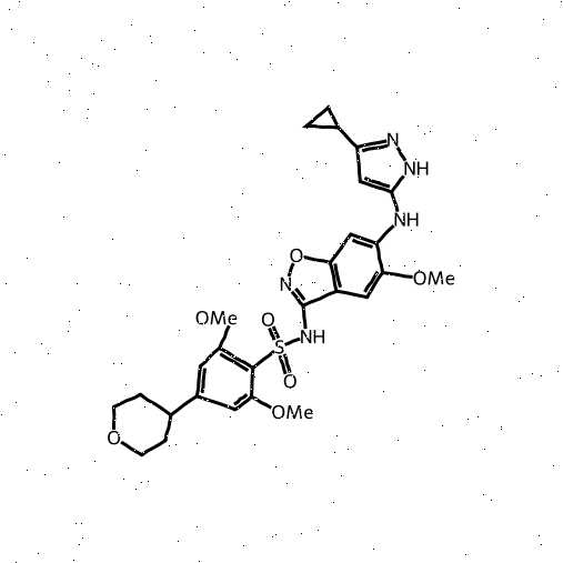 COc1cc2c(NS(=O)(=O)c3c(OC)cc(C4CCOCC4)cc3OC)noc2cc1Nc1cc(C2CC2)n[nH]1